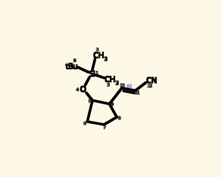 CC(C)(C)[Si](C)(C)OC1CCCC1/C=C/C#N